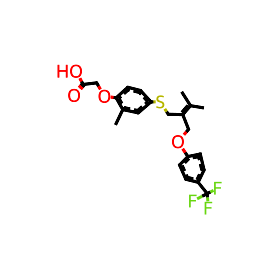 CC(C)=C(COc1ccc(C(F)(F)F)cc1)CSc1ccc(OCC(=O)O)c(C)c1